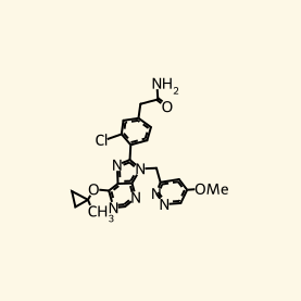 COc1cnnc(Cn2c(-c3ccc(CC(N)=O)cc3Cl)nc3c(OC4(C)CC4)ncnc32)c1